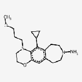 COCCCN1CCOc2cc3c(c(C4CC4)c21)CCN(N)CC3